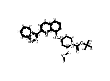 COC[C@@H]1C[C@@H](Oc2cccc3ccc(-c4nnc5ccccn45)nc23)CCN1C(=O)OC(C)(C)C